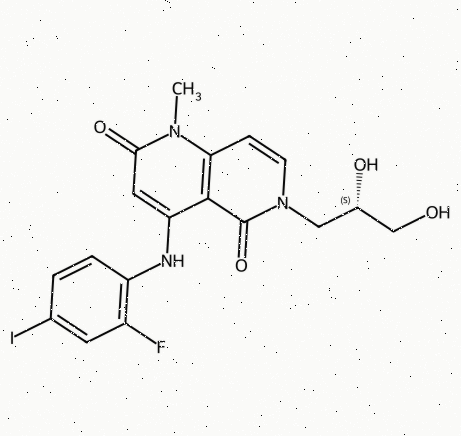 Cn1c(=O)cc(Nc2ccc(I)cc2F)c2c(=O)n(C[C@H](O)CO)ccc21